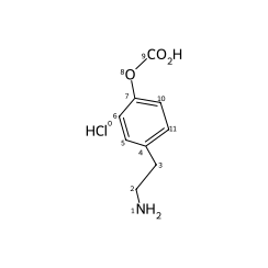 Cl.NCCc1ccc(OC(=O)O)cc1